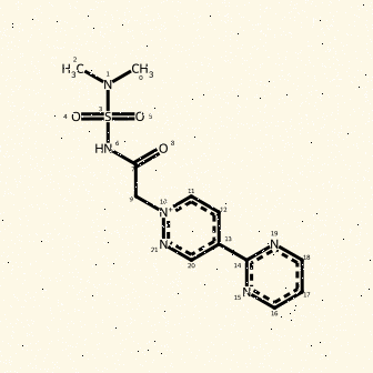 CN(C)S(=O)(=O)NC(=O)C[n+]1ccc(-c2ncccn2)cn1